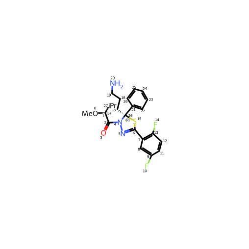 CO[C@H](C(=O)N1N=C(c2cc(F)ccc2F)S[C@]1(CCCN)c1ccccc1)C(C)C